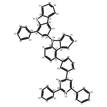 c1ccc(-c2cc(-c3cccc(-c4cccc5c4c4ccccc4n5-c4cc(-c5ccccc5)c5sc6ccccc6c5c4)c3)nc(-c3ccccc3)n2)cc1